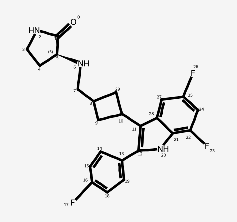 O=C1NCC[C@@H]1NCC1CC(c2c(-c3ccc(F)cc3)[nH]c3c(F)cc(F)cc23)C1